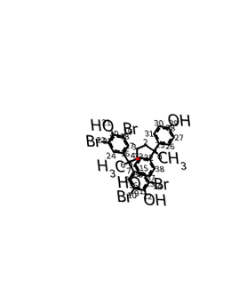 CC(CCCC(C)(c1cc(Br)c(O)c(Br)c1)c1cc(Br)c(O)c(Br)c1)(c1ccc(O)cc1)c1ccc(O)cc1